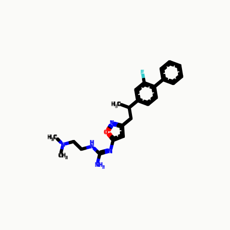 CC(Cc1cc(N=C(N)NCCN(C)C)on1)c1ccc(-c2ccccc2)c(F)c1